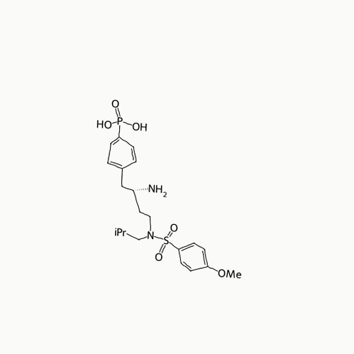 COc1ccc(S(=O)(=O)N(CC[C@@H](N)Cc2ccc(P(=O)(O)O)cc2)CC(C)C)cc1